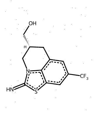 N=c1sc2cc(C(F)(F)F)cc3c2n1C[C@H](CO)C3